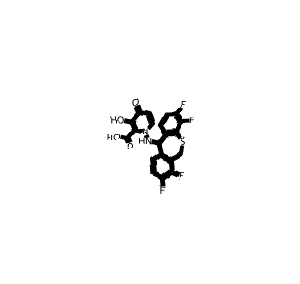 O=C(O)c1c(O)c(=O)ccn1NC1c2ccc(F)c(F)c2CSc2c1ccc(F)c2F